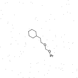 CC(C)OCOCCC1CCCCC1